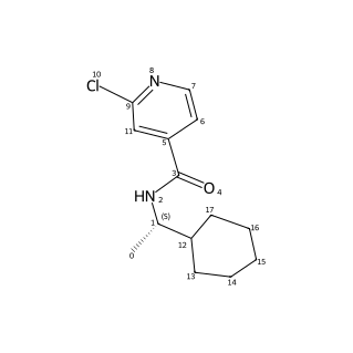 C[C@H](NC(=O)c1ccnc(Cl)c1)C1CCCCC1